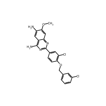 COc1cc2nc(-c3ccc(OCc4cccc(Cl)c4)c(Cl)c3)nc(N)c2cc1N